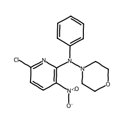 O=[N+]([O-])c1ccc(Cl)nc1N(c1ccccc1)N1CCOCC1